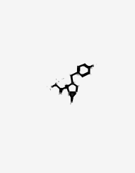 CCOC(=O)C1C2CC(Cc3ccc(F)cc3)C(C#N)(C(=O)CN)C21